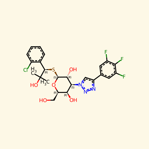 CC(C)(O)[C@H](S[C@@H]1O[C@H](CO)[C@H](O)[C@H](n2cc(-c3cc(F)c(F)c(F)c3)nn2)[C@H]1O)c1ccccc1Cl